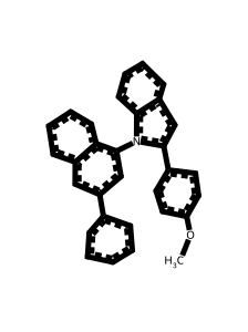 COc1ccc(-c2cc3ccccc3n2-c2cc(-c3ccccc3)cc3ccccc23)cc1